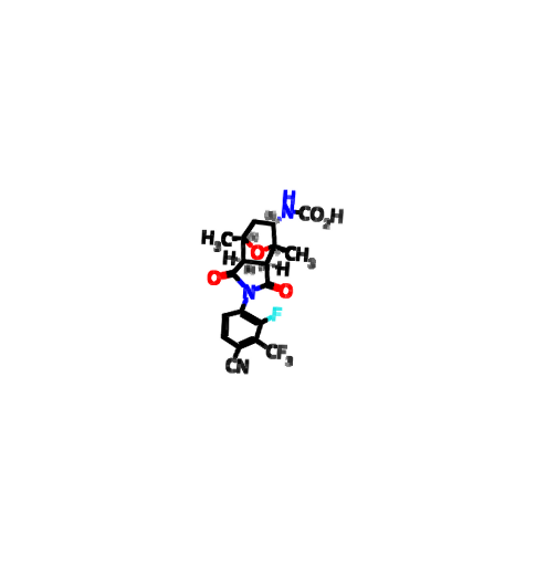 C[C@@]12O[C@@](C)(C[C@@H]1NC(=O)O)[C@@H]1C(=O)N(c3ccc(C#N)c(C(F)(F)F)c3F)C(=O)[C@@H]12